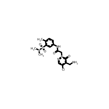 Cc1ccc(NC(=O)Cn2ncc(Cl)c(CN)c2=O)cc1S(=O)(=O)N(C)C